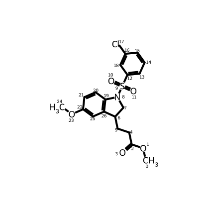 COC(=O)CCC1CN(S(=O)(=O)c2cccc(Cl)c2)c2ccc(OC)cc21